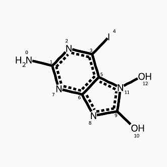 Nc1nc(I)c2c(n1)nc(O)n2O